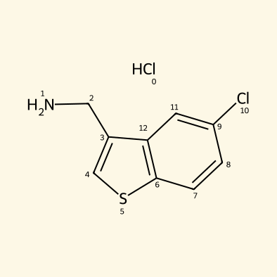 Cl.NCc1csc2ccc(Cl)cc12